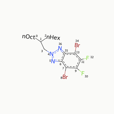 CCCCCCCCC(CCCCCC)Cn1nc2c(Br)c(F)c(F)c(Br)c2n1